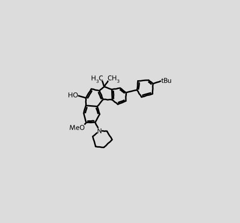 COc1cc2c(O)cc3c(c2cc1N1CCCCC1)-c1ccc(-c2ccc(C(C)(C)C)cc2)cc1C3(C)C